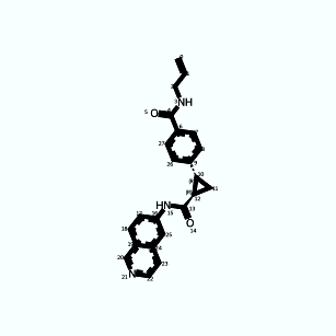 C=CCNC(=O)c1ccc([C@@H]2C[C@H]2C(=O)Nc2ccc3cnccc3c2)cc1